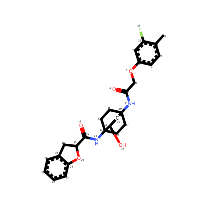 Cc1ccc(OCC(=O)NC23CCC(NC(=O)C4Cc5ccccc5O4)(CC2)C(O)C3)cc1F